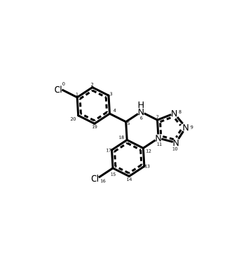 Clc1ccc(C2Nc3nnnn3-c3ccc(Cl)cc32)cc1